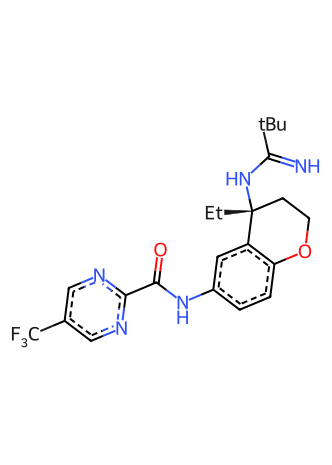 CC[C@@]1(NC(=N)C(C)(C)C)CCOc2ccc(NC(=O)c3ncc(C(F)(F)F)cn3)cc21